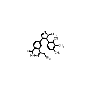 Cc1ccc(-c2c(-c3ccc4c(=O)[nH]nc(CN)c4c3)cnn2C)c(C#N)c1C